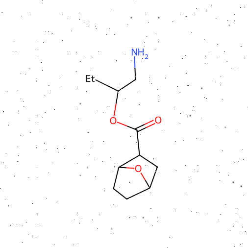 CCC(CN)OC(=O)C1CC2CCC1O2